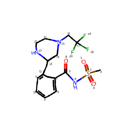 CS(=O)(=O)NC(=O)c1ccccc1C1CN(CC(F)(F)F)CCN1